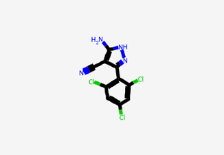 N#Cc1c(-c2c(Cl)cc(Cl)cc2Cl)n[nH]c1N